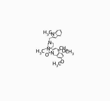 CCN1C(=O)N2Cc3cc(OC)cc(OC)c3[C@@H](C)C=C2C12CCN(Cc1cc3ccccc3n1C)CC2